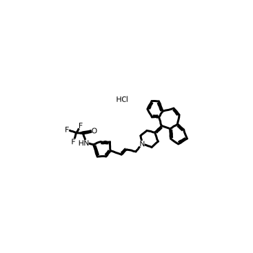 Cl.O=C(Nc1ccc(C=CCN2CCC(=C3c4ccccc4C=Cc4ccccc43)CC2)cc1)C(F)(F)F